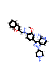 COc1cc(-c2nn(C3CCNCC3)c3ccnc(N)c23)ccc1NCc1cc2ccccc2o1